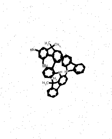 CC(C)(C)c1cc(C(C)(C)C)c2c(c1)C(C)(C)c1cccc(-c3ccccc3Nc3c([SH]4c5ccccc5-c5ccccc54)ccc4c3C(C)(C)c3ccccc3-4)c1-2